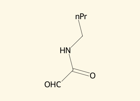 CCCCNC(=O)C=O